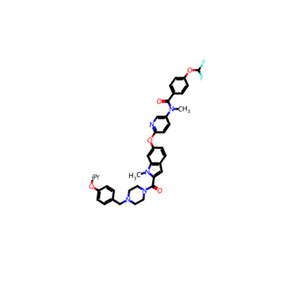 CC(C)Oc1ccc(CN2CCN(C(=O)c3cc4ccc(Oc5ccc(N(C)C(=O)c6ccc(OC(F)F)cc6)cn5)cc4n3C)CC2)cc1